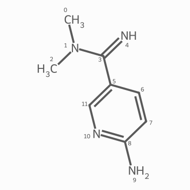 CN(C)C(=N)c1ccc(N)nc1